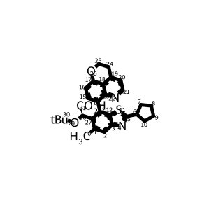 Cc1cc2nc(C3CCCC3)sc2c(-c2ccc3c4c(ccnc24)CCO3)c1[C@H](OC(C)(C)C)C(=O)O